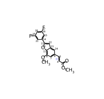 COC(=O)/C=C/c1cc(OC)c2oc(-c3cc(F)cc(F)c3)cc2c1